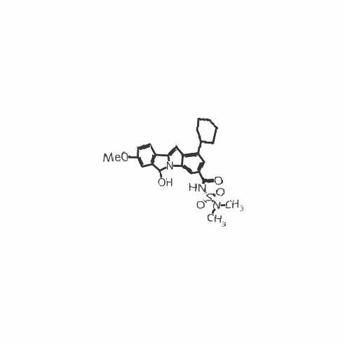 COc1ccc2c(c1)C(O)n1c-2cc2c(C3CCCCC3)cc(C(=O)NS(=O)(=O)N(C)C)cc21